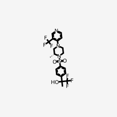 C[C@@H]1CN(c2ccncc2C(F)(F)F)CCN1S(=O)(=O)c1ccc(C(C)(O)C(F)(F)F)cc1